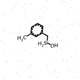 Cc1cccc(C[SiH2]O)c1